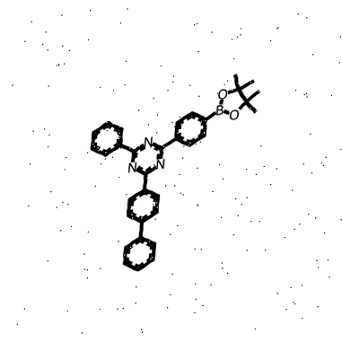 CC1(C)OB(c2ccc(-c3nc(-c4ccccc4)nc(-c4ccc(-c5ccccc5)cc4)n3)cc2)OC1(C)C